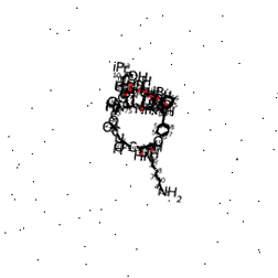 CC[C@H](C)[C@H]1NC(=O)[C@@H](NC(=O)[C@H](C)[C@H](O)C(C)C)[C@@H](C)OC(=O)[C@@H]2COC(=O)CNC(=O)CCC(C)[C@](O)(CNCCCCCCN)[C@@H](C)OC3=CC=C(CC3)[C@H](NC1=O)C(=O)N(C)[C@@H](Cc1ccccc1)C(=O)N[C@H]([C@@H](C)O)C(=O)N2